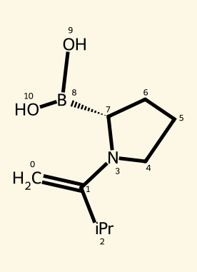 C=C(C(C)C)N1CCC[C@H]1B(O)O